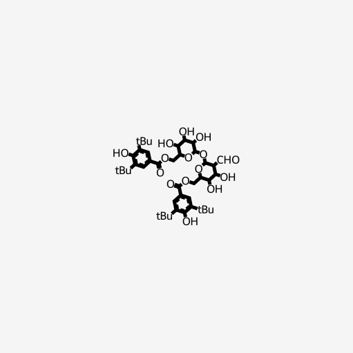 CC(C)(C)c1cc(C(=O)OCC2OC(OC3OC(COC(=O)c4cc(C(C)(C)C)c(O)c(C(C)(C)C)c4)C(O)C(O)C3C=O)C(O)C(O)C2O)cc(C(C)(C)C)c1O